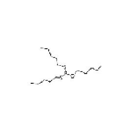 CCCCCOP(SCCCCC)SCCCCC